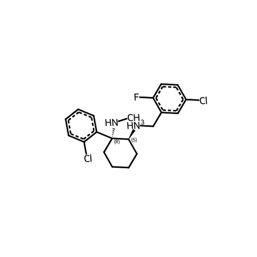 CN[C@@]1(c2ccccc2Cl)CCCC[C@@H]1NCc1cc(Cl)ccc1F